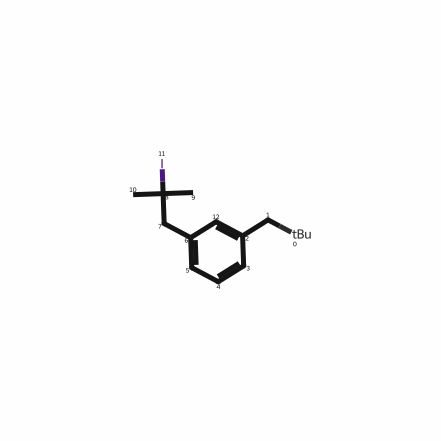 CC(C)(C)Cc1cccc(CC(C)(C)I)c1